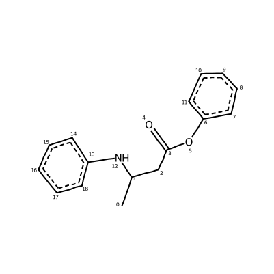 CC(CC(=O)Oc1ccccc1)Nc1ccccc1